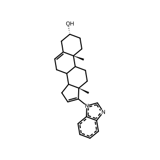 C[C@]12CC[C@@H](O)CC1=CCC1C2CC[C@]2(C)C(n3cnc4ccccc43)=CCC12